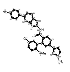 COc1ccc(Cl)cc1-c1cc(-c2ccn(C)n2)ncc1C(=O)Nc1nc2ncc(-c3ccc(C#N)cc3)nc2s1